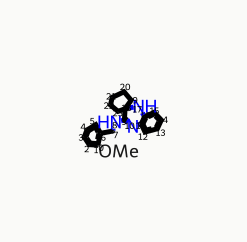 COc1ccccc1CNC1=Nc2ccccc2NC12CCCCC2